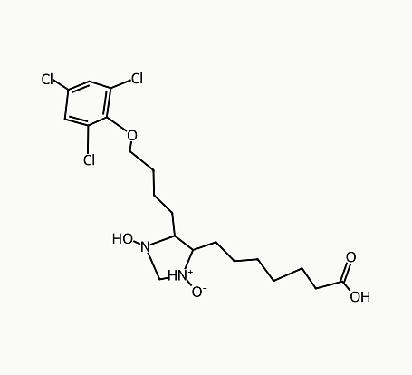 O=C(O)CCCCCCC1C(CCCCOc2c(Cl)cc(Cl)cc2Cl)N(O)C[NH+]1[O-]